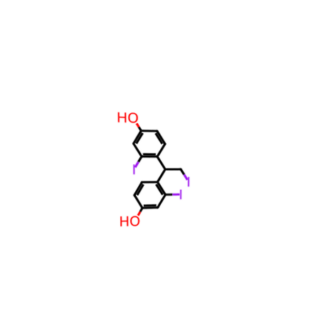 Oc1ccc(C(CI)c2ccc(O)cc2I)c(I)c1